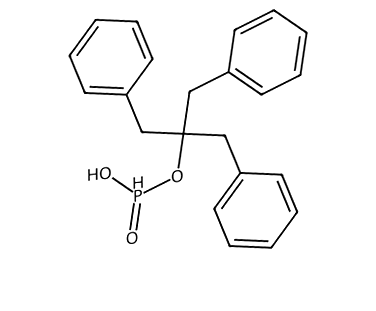 O=[PH](O)OC(Cc1ccccc1)(Cc1ccccc1)Cc1ccccc1